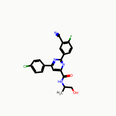 CC(CO)NC(=O)c1cc(-c2ccc(Cl)cc2)nc(-c2ccc(F)c(C#N)c2)n1